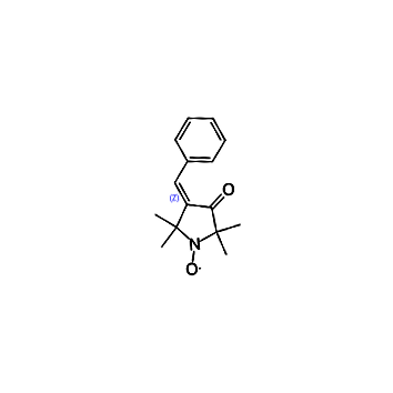 CC1(C)C(=O)/C(=C\c2ccccc2)C(C)(C)N1[O]